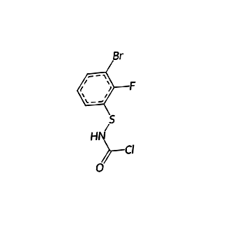 O=C(Cl)NSc1cccc(Br)c1F